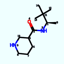 C[C@@H](NC(=O)C1CCCNC1)C(C)(C)C